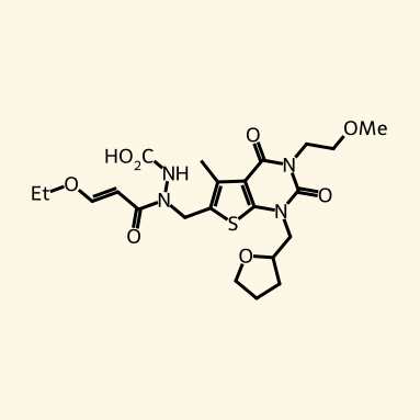 CCOC=CC(=O)N(Cc1sc2c(c1C)c(=O)n(CCOC)c(=O)n2CC1CCCO1)NC(=O)O